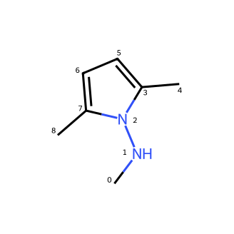 CNn1c(C)ccc1C